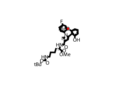 COC(=O)[C@H](CCCCNC(=O)OC(C)(C)C)NC(=O)c1cc(-c2c(O)cccc2OC)n(C2=C=C=C(F)C=C2)n1